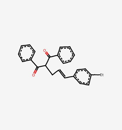 CCc1ccc(C=CCC(C(=O)c2ccccc2)C(=O)c2ccccc2)cc1